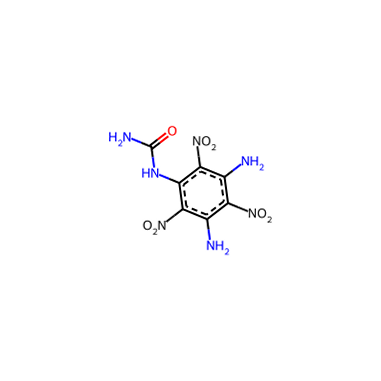 NC(=O)Nc1c([N+](=O)[O-])c(N)c([N+](=O)[O-])c(N)c1[N+](=O)[O-]